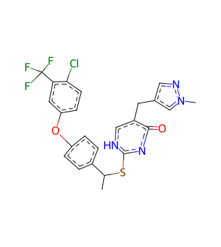 CC(Sc1nc(=O)c(Cc2cnn(C)c2)c[nH]1)c1ccc(Oc2ccc(Cl)c(C(F)(F)F)c2)cc1